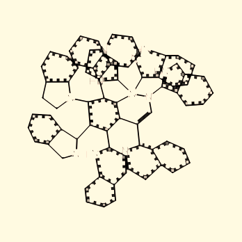 [C]1=C(c2nccc3ccccc23)c2c(-c3ccc4ccccc4n3)c(C3NCc4ccccc43)c(N3CCc4ccccc43)c(-c3ccn4ccccc34)c2[N+](c2cc3ccccc3[nH]2)(c2n[nH]c3ccccc23)N1c1[nH]cc2ccccc12